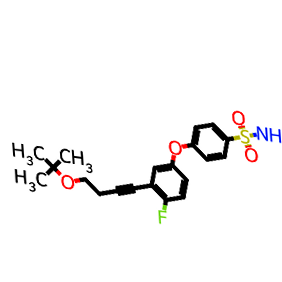 CC(C)(C)OCCC#Cc1cc(Oc2ccc(S(N)(=O)=O)cc2)ccc1F